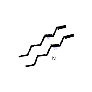 C=C/C=C/CCCC.C=C/C=C/CCCC.[Ni]